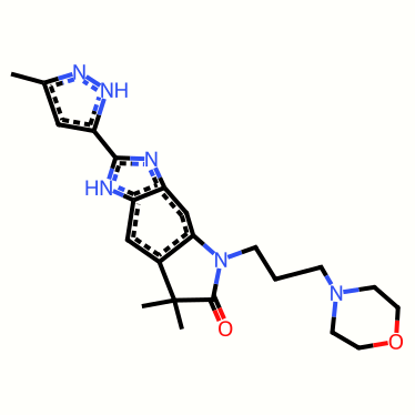 Cc1cc(-c2nc3cc4c(cc3[nH]2)C(C)(C)C(=O)N4CCCN2CCOCC2)[nH]n1